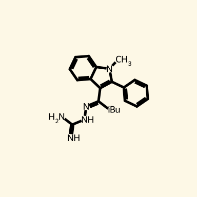 CCC(C)C(=NNC(=N)N)c1c(-c2ccccc2)n(C)c2ccccc12